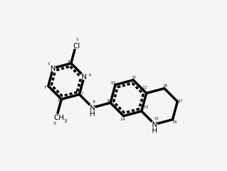 Cc1cnc(Cl)nc1Nc1ccc2c(c1)NCCC2